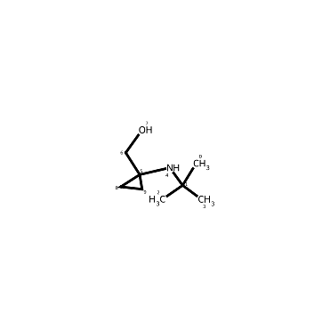 CC(C)(C)NC1(CO)CC1